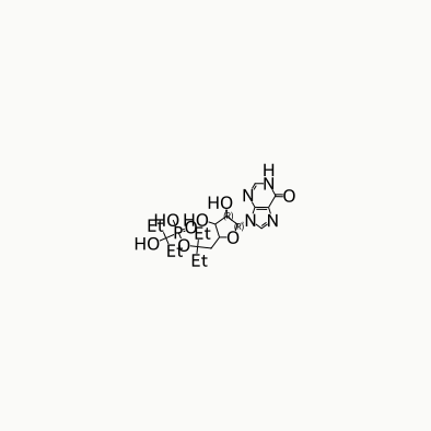 CCC(CC)(CC1O[C@@H](n2cnc3c(=O)[nH]cnc32)[C@H](O)C1O)OP(=O)(O)C(O)(CC)CC